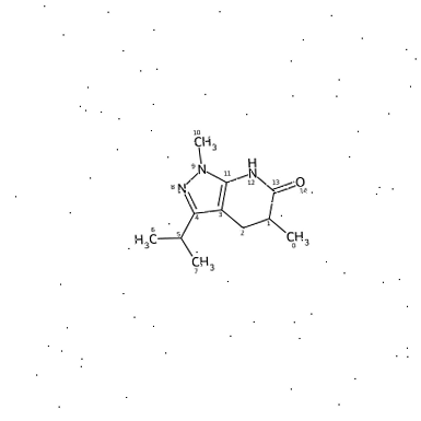 CC1Cc2c(C(C)C)nn(C)c2NC1=O